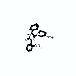 CN(C(=O)Cc1ccccc1[N+](=O)[O-])[C@H](C(=O)N1CC[C@H](O)C1)c1ccccc1